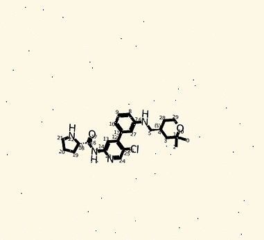 CC1(C)C[C@@H](CNc2cccc(-c3cc(NC(=O)[C@@H]4CCCN4)ncc3Cl)c2)CCO1